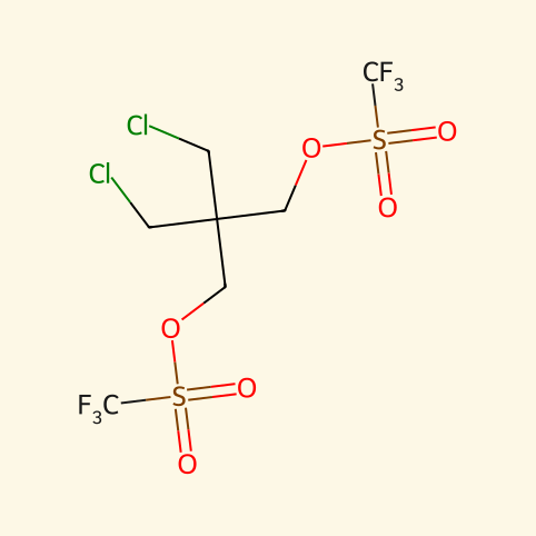 O=S(=O)(OCC(CCl)(CCl)COS(=O)(=O)C(F)(F)F)C(F)(F)F